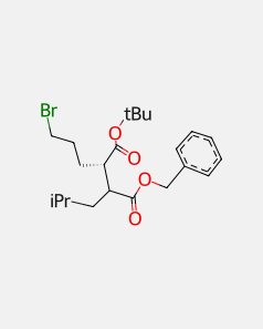 CC(C)CC(C(=O)OCc1ccccc1)[C@H](CCCBr)C(=O)OC(C)(C)C